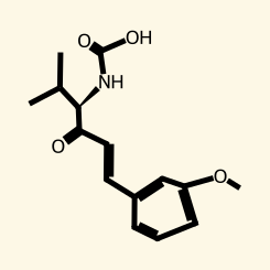 COc1cccc(C=CC(=O)[C@H](NC(=O)O)C(C)C)c1